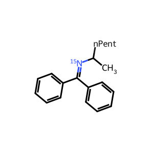 CCCCCC(C)[15N]=C(c1ccccc1)c1ccccc1